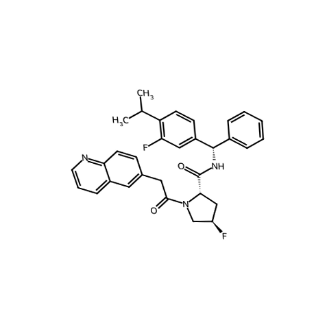 CC(C)c1ccc([C@@H](NC(=O)[C@@H]2C[C@@H](F)CN2C(=O)Cc2ccc3ncccc3c2)c2ccccc2)cc1F